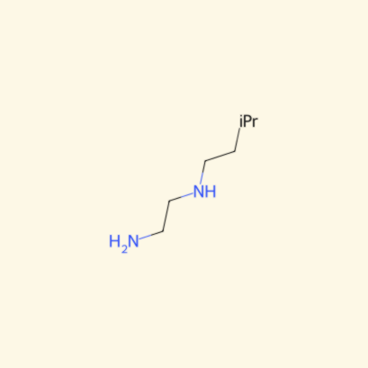 [CH2]C(C)CCNCCN